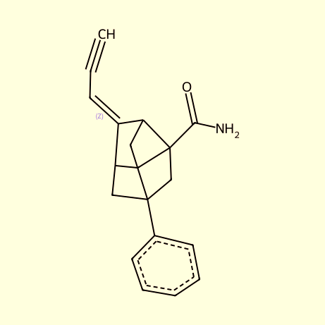 C#C/C=C1/C2CC3(c4ccccc4)CC1C(C(N)=O)(C2)C3